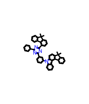 CC1(C)c2ccccc2-c2c(-c3nc(-c4ccccc4)nc(-c4cccc(-n5c6ccccc6c6c7c(ccc65)C(C)(C)c5ccccc5-7)c4)n3)cccc21